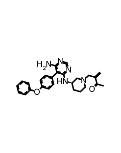 C=C(CN1CCC[C@@H](Nc2ncnc(N)c2-c2ccc(Oc3ccccc3)cc2)C1)C(C)=O